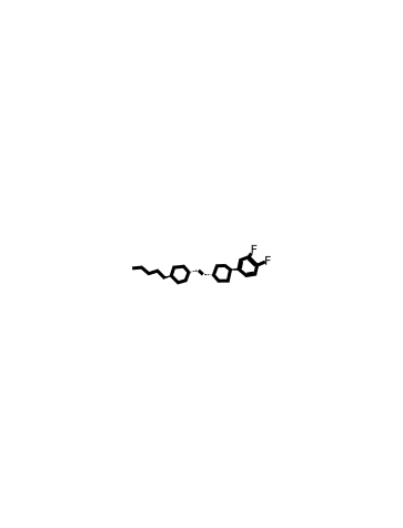 CCCCC[C@H]1CC[C@H](CC[C@H]2CC[C@H](c3ccc(F)c(F)c3)CC2)CC1